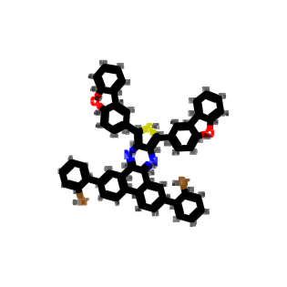 Brc1ccccc1-c1ccc2c3ccc(-c4ccccc4Br)cc3c3nc4c(-c5ccc6oc7ccccc7c6c5)sc(-c5ccc6oc7ccccc7c6c5)c4nc3c2c1